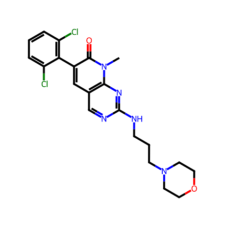 Cn1c(=O)c(-c2c(Cl)cccc2Cl)cc2cnc(NCCCN3CCOCC3)nc21